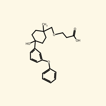 CC1(COCCC(=O)O)CCC(O)(c2cccc(Oc3ccccc3)c2)CC1